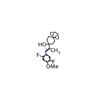 COc1cc(F)c(/C=C(\C)C2(O)CCC3(CC2)OCCO3)cc1F